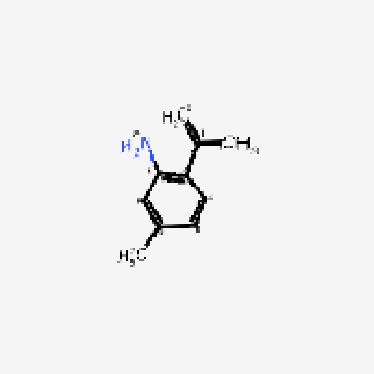 C=C(C)c1ccc(C)cc1N